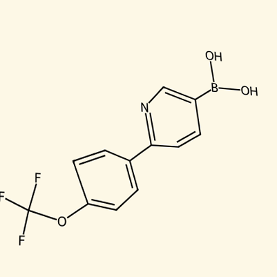 OB(O)c1ccc(-c2ccc(OC(F)(F)F)cc2)nc1